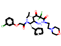 CC(C)[C@H](C(=O)C(F)(F)C(=O)NCCN1CCOCC1)C(N)[C@H](Cc1ccccc1)NC(=O)COc1cccc(Cl)c1